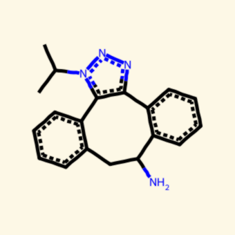 CC(C)n1nnc2c1-c1ccccc1CC(N)c1ccccc1-2